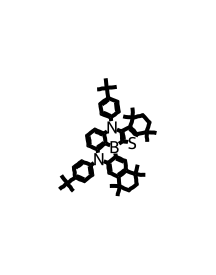 CC(C)(C)c1ccc(N2c3cc4c(cc3B3c5sc6c(c5N(c5ccc(C(C)(C)C)cc5)c5cccc2c53)C(C)(C)CCC6(C)C)C(C)(C)CCC4(C)C)cc1